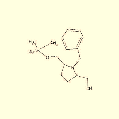 CC(C)(C)[Si](C)(C)OCC1CCC(CO)N1Cc1ccccc1